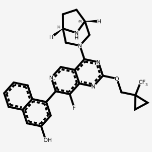 Oc1cc(-c2ncc3c(N4C[C@H]5CC[C@@H](C4)N5)nc(OCC4(C(F)(F)F)CC4)nc3c2F)c2ccccc2c1